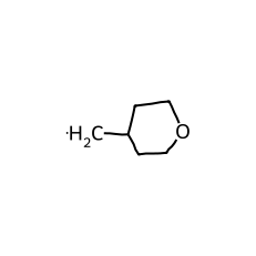 [CH2]C1CCOCC1